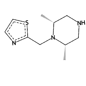 C[C@@H]1CNC[C@H](C)N1Cc1nccs1